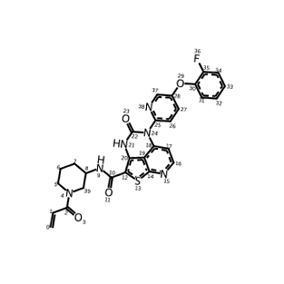 C=CC(=O)N1CCCC(NC(=O)c2sc3nccc4c3c2NC(=O)N4c2ccc(Oc3ccccc3F)cn2)C1